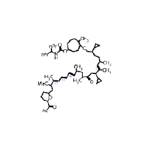 CCCC(CCC)NC(=O)OC1CCCC(C)C(CCC(CCC(C)/C=C(\C)C(CC(=O)C(C)CC(C)/C=C/C=C/C=C(\C)C(CC2CCCC(C(=O)C(C)=O)O2)OC)C2CC2)C2CC2)CC1